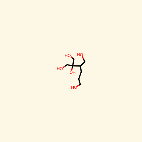 OCCCC(CO)C(O)(CO)CO